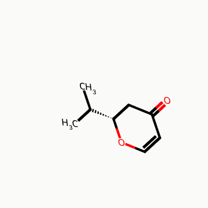 CC(C)[C@@H]1CC(=O)C=CO1